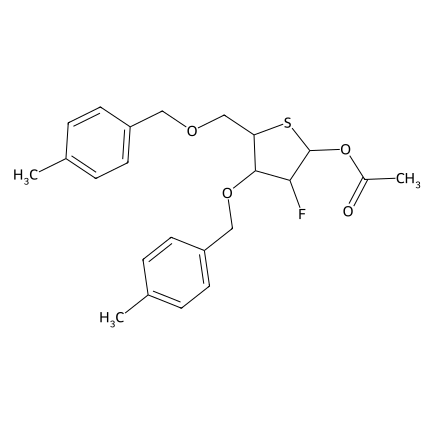 CC(=O)OC1SC(COCc2ccc(C)cc2)C(OCc2ccc(C)cc2)C1F